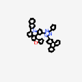 c1ccc(-c2nc(-c3ccc(-n4c5ccccc5c5cc6ccccc6cc54)c(-c4cccc5oc6ccccc6c45)c3)nc(-c3ccc4c5ccccc5c5ccccc5c4c3)n2)cc1